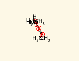 CCC(C)COC(=O)c1ccc(-c2ccc(OC(=O)c3ccc(OCCC[Si](C)(C)O[SiH](C)C)cc3)cc2)cc1